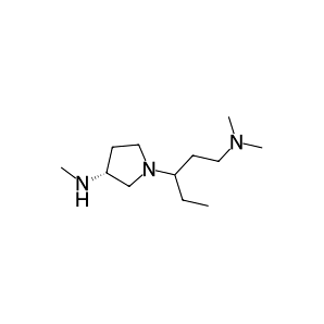 CCC(CCN(C)C)N1CC[C@@H](NC)C1